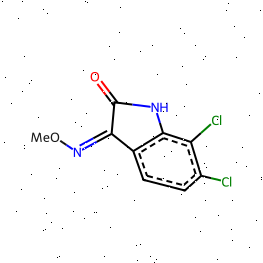 CON=C1C(=O)Nc2c1ccc(Cl)c2Cl